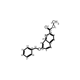 COC(=O)c1ccc2ccc(OCc3ccccc3)cc2n1